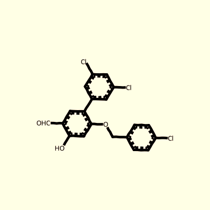 O=Cc1cc(-c2cc(Cl)cc(Cl)c2)c(OCc2ccc(Cl)cc2)cc1O